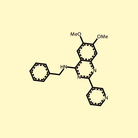 COc1cc2nc(-c3cccnc3)nc(NCc3ccccc3)c2cc1OC